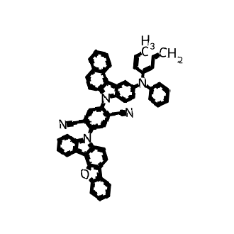 C=C/C=C(\C=C/C)N(c1ccccc1)c1ccc2c(c1)c1c3ccccc3ccc1n2-c1cc(C#N)c(-n2c3ccccc3c3c4oc5ccccc5c4ccc32)cc1C#N